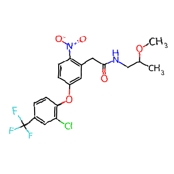 COC(C)CNC(=O)Cc1cc(Oc2ccc(C(F)(F)F)cc2Cl)ccc1[N+](=O)[O-]